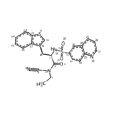 CCN(C#N)C(=O)C(Cc1csc2ccccc12)NS(=O)(=O)c1ccc2ncccc2c1